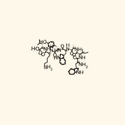 CC[C@H](C)[C@H](NC(=O)[C@@H](N)Cc1c[nH]c2ccccc12)C(=O)N[C@@H](C)C(=O)N[C@@H](Cc1c[nH]c2ccccc12)C(=O)N[C@@H](Cc1ccc(O)cc1)C(=O)N[C@@H](CCCCN)C(=O)N[C@@H](CC(C)C)C(=O)O